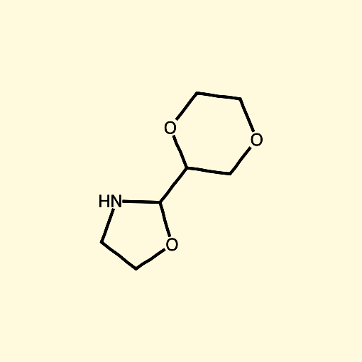 C1COC(C2COCCO2)N1